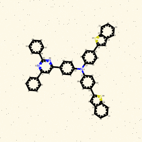 c1ccc(-c2cc(-c3ccc(N(c4ccc(-c5cc6ccccc6s5)cc4)c4ccc(-c5cc6ccccc6s5)cc4)cc3)nc(-c3ccccc3)n2)cc1